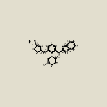 CN1CCC(OC(c2cccc(OC3CCC(N)C3)c2)c2nc3ccccc3s2)CC1